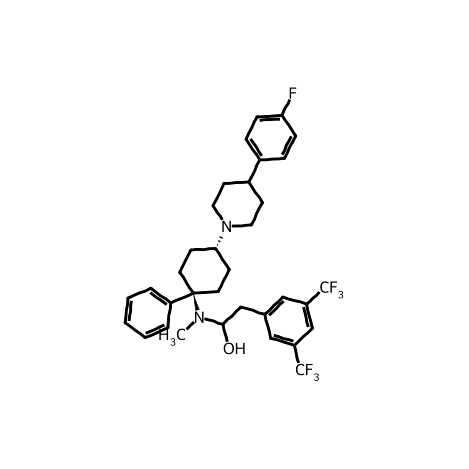 CN(C(O)Cc1cc(C(F)(F)F)cc(C(F)(F)F)c1)[C@]1(c2ccccc2)CC[C@@H](N2CCC(c3ccc(F)cc3)CC2)CC1